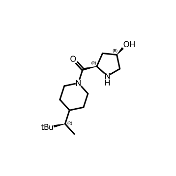 C[C@H](C1CCN(C(=O)[C@H]2C[C@@H](O)CN2)CC1)C(C)(C)C